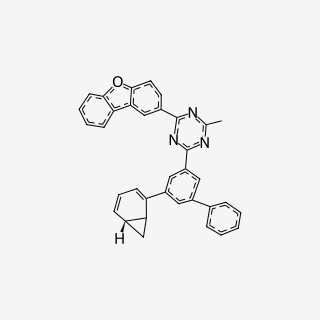 Cc1nc(-c2cc(C3=CC=C[C@H]4CC34)cc(-c3ccccc3)c2)nc(-c2ccc3oc4ccccc4c3c2)n1